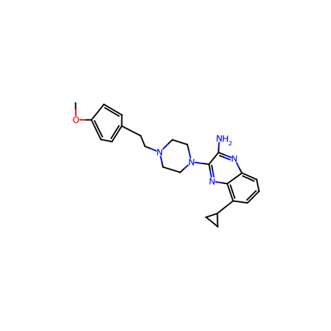 COc1ccc(CCN2CCN(c3nc4c(C5CC5)cccc4nc3N)CC2)cc1